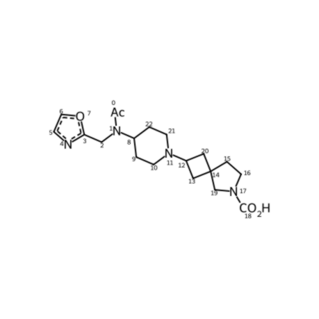 CC(=O)N(Cc1ncco1)C1CCN(C2CC3(CCN(C(=O)O)C3)C2)CC1